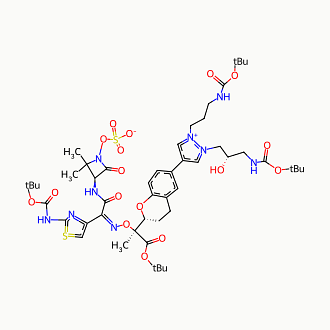 CC(C)(C)OC(=O)NCCC[n+]1cc(-c2ccc3c(c2)CC[C@H]([C@](C)(O/N=C(\C(=O)N[C@@H]2C(=O)N(OS(=O)(=O)[O-])C2(C)C)c2csc(NC(=O)OC(C)(C)C)n2)C(=O)OC(C)(C)C)O3)cn1C[C@@H](O)CNC(=O)OC(C)(C)C